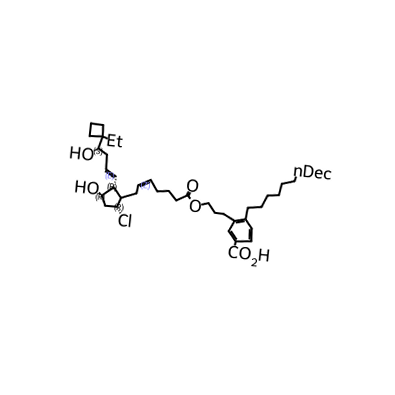 CCCCCCCCCCCCCCCCc1ccc(C(=O)O)cc1CCCOC(=O)CCC/C=C\CC1[C@H](Cl)C[C@@H](O)[C@@H]1/C=C/C[C@H](O)C1(CC)CCC1